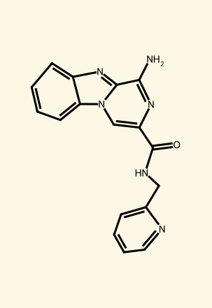 Nc1nc(C(=O)NCc2ccccn2)cn2c1nc1ccccc12